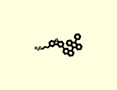 CCCCc1ccc2oc3ccc(-c4ccc5cccc(-c6c7ccccc7c(-c7ccccc7)c7ccccc67)c5c4)cc3c2c1